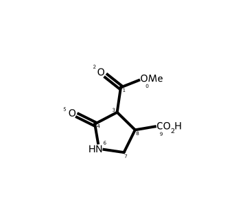 COC(=O)C1C(=O)NCC1C(=O)O